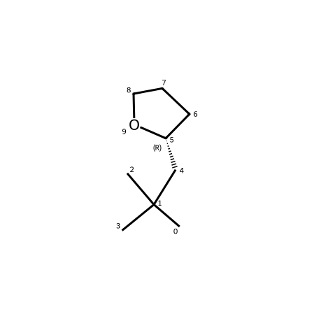 CC(C)(C)C[C@H]1CCCO1